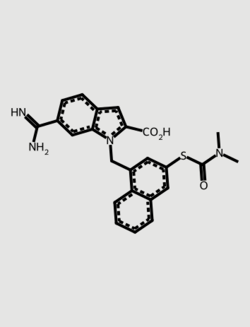 CN(C)C(=O)Sc1cc(Cn2c(C(=O)O)cc3ccc(C(=N)N)cc32)c2ccccc2c1